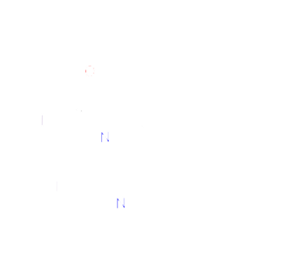 O=C(I)N1C(I)=Nc2cccc3cccc1c23